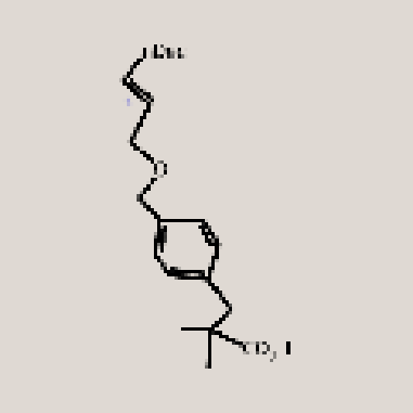 CCCCCCCCCC/C=C/COCc1ccc(CC(C)(C)C(=O)O)cc1